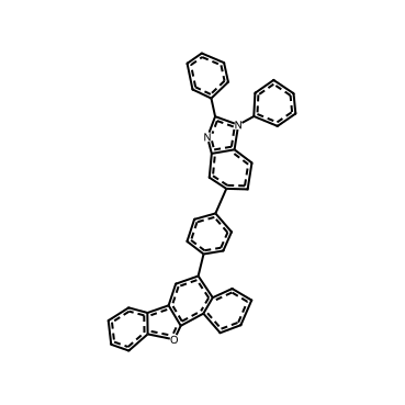 c1ccc(-c2nc3cc(-c4ccc(-c5cc6c7ccccc7oc6c6ccccc56)cc4)ccc3n2-c2ccccc2)cc1